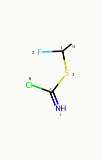 CC(F)SC(=N)Cl